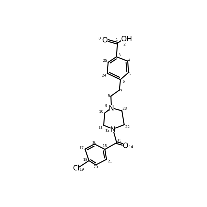 O=C(O)c1ccc(CCN2CCN(C(=O)c3ccc(Cl)cc3)CC2)cc1